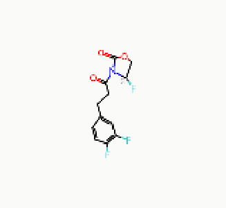 O=C(CCc1ccc(F)c(F)c1)N1C(=O)OC[C@H]1F